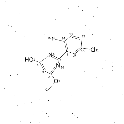 COc1cc(O)nc(-c2cc(Cl)ccc2F)n1